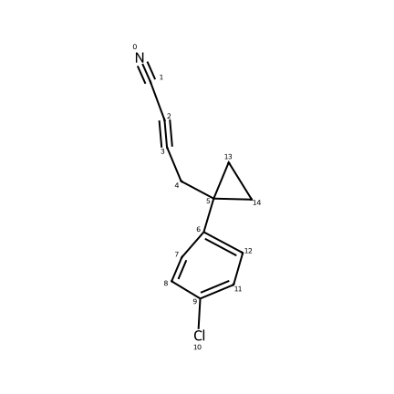 N#CC#CCC1(c2ccc(Cl)cc2)CC1